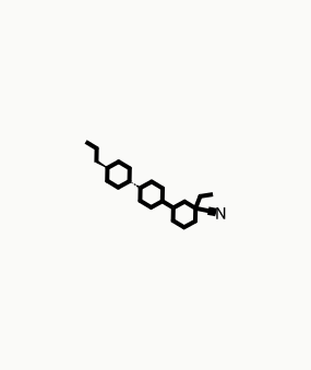 CCC[C@H]1CC[C@H](C2CCC(C3CCCC(C#N)(CC)C3)CC2)CC1